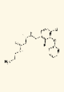 C[C@@H](CC(=O)NCCN)NCc1ccc(Cl)c(Oc2ccccc2)c1F